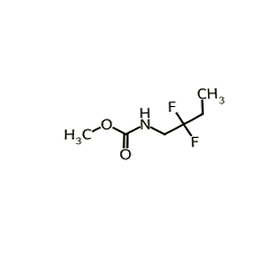 CCC(F)(F)CNC(=O)OC